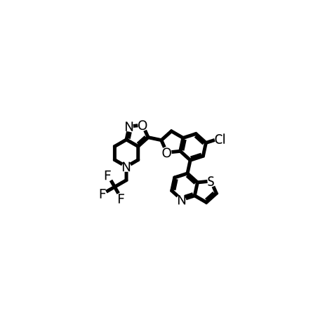 FC(F)(F)CN1CCc2noc(C3Cc4cc(Cl)cc(-c5ccnc6ccsc56)c4O3)c2C1